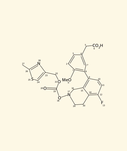 COc1ccc(CC(=O)O)cc1-c1ccc(F)c2c1CN(OC(=O)OCc1csc(C)n1)CC2